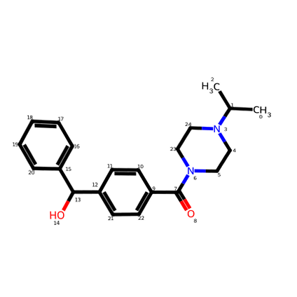 CC(C)N1CCN(C(=O)c2ccc(C(O)c3ccccc3)cc2)CC1